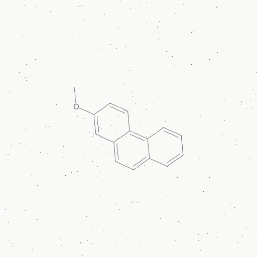 COc1[c]c2ccc3ccccc3c2cc1